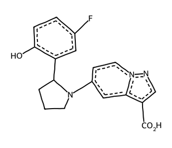 O=C(O)c1cnn2ccc(N3CCCC3c3cc(F)ccc3O)cc12